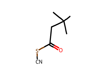 CC(C)(C)CC(=O)SC#N